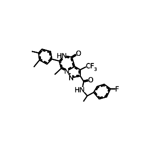 Cc1ccc(-c2[nH]c(=O)c3c(C(F)(F)F)c(C(=O)NC(C)c4ccc(F)cc4)nn3c2C)cc1C